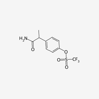 CC(C(N)=O)c1ccc(OS(=O)(=O)C(F)(F)F)cc1